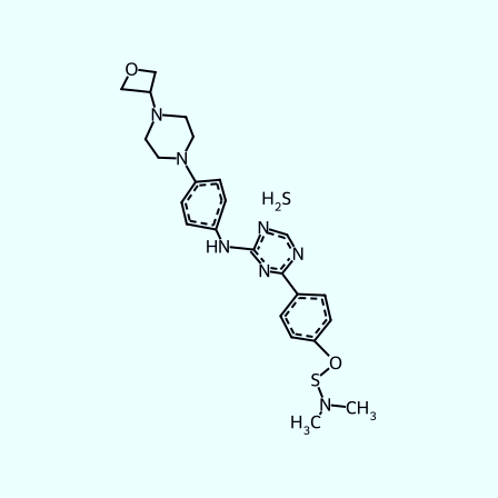 CN(C)SOc1ccc(-c2ncnc(Nc3ccc(N4CCN(C5COC5)CC4)cc3)n2)cc1.S